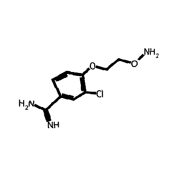 N=C(N)c1ccc(OCCON)c(Cl)c1